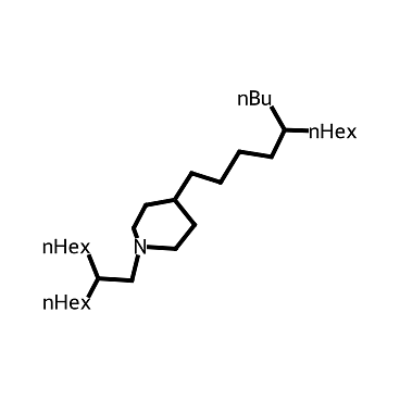 CCCCCCC(CCCC)CCCCC1CCN(CC(CCCCCC)CCCCCC)CC1